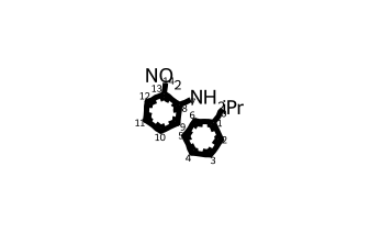 CC(C)c1ccccc1.Nc1ccccc1[N+](=O)[O-]